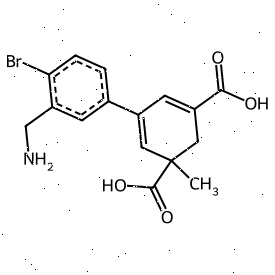 CC1(C(=O)O)C=C(c2ccc(Br)c(CN)c2)C=C(C(=O)O)C1